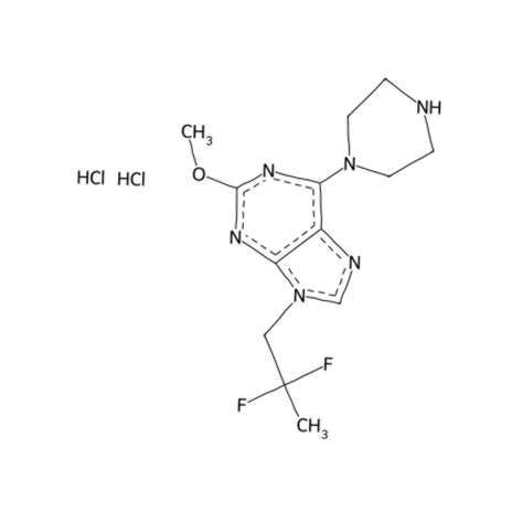 COc1nc(N2CCNCC2)c2ncn(CC(C)(F)F)c2n1.Cl.Cl